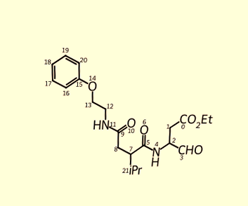 CCOC(=O)CC(C=O)NC(=O)C(CC(=O)NCCOc1ccccc1)C(C)C